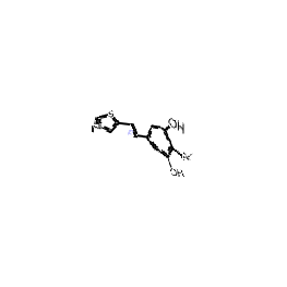 CC(C)c1c(O)cc(/C=C/c2cncs2)cc1O